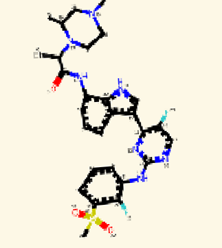 CCC(C(=O)Nc1cccc2c(-c3nc(Nc4cccc(S(C)(=O)=O)c4F)ncc3F)c[nH]c12)N1CCN(C)CC1C